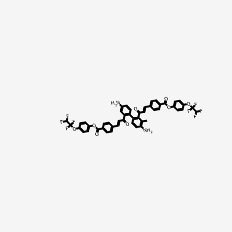 Cc1c(N)ccc(-c2ccc(N)cc2C(=O)/C=C/c2ccc(C(=O)Oc3ccc(OC(F)(F)C(F)F)cc3)cc2)c1C(=O)/C=C/c1ccc(C(=O)Oc2ccc(OC(F)(F)C(F)F)cc2)cc1